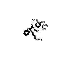 COCCCCn1c(C(=O)N(CC(C)C)[C@H]2C[C@@H](C(C)O)C(C(C)(C)C)N(C(=O)O)C2)nc2ccccc21